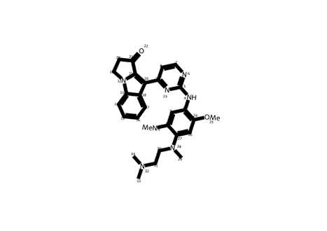 CNc1cc(Nc2nccc(-c3c4n(c5ccccc35)CCC4=O)n2)c(OC)cc1N(C)CCN(C)C